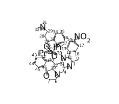 C/C(=N/CCN1CCOCC1)C(c1ccc([N+](=O)[O-])cc1)N(C)CCC(O[Si](OC(CCN(C)C)c1ccccc1)(C(C)C)C(C)C)c1ccccc1